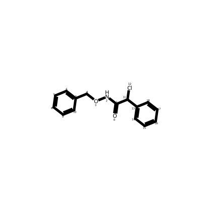 O=C(NOCc1ccccc1)C(Cl)c1ccccc1